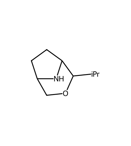 CC(C)C1OCC2CCC1N2